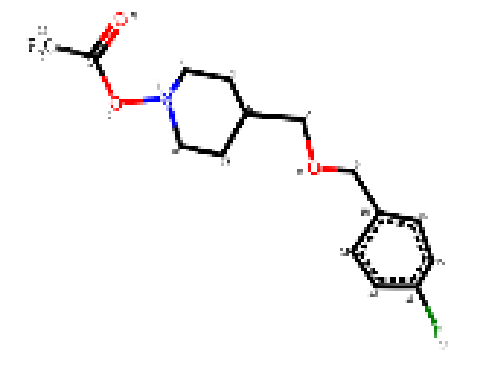 O=C(ON1CCC(COCc2ccc(F)cc2)CC1)C(F)(F)F